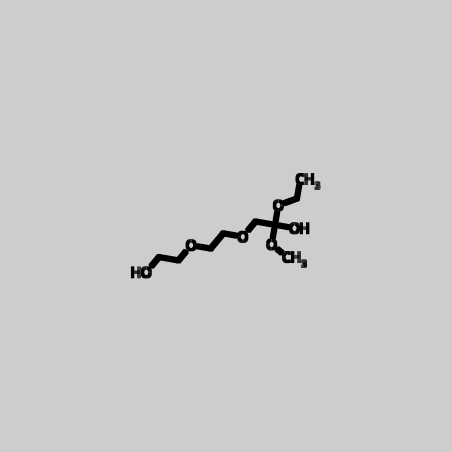 CCOC(O)(COCCOCCO)OC